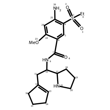 CCS(=O)(=O)c1cc(C(=O)NC(CC2=CCCC2)C2CCCN2)c(OC)cc1N